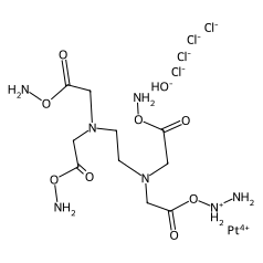 N[NH2+]OC(=O)CN(CCN(CC(=O)ON)CC(=O)ON)CC(=O)ON.[Cl-].[Cl-].[Cl-].[Cl-].[OH-].[Pt+4]